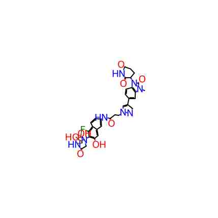 Cn1c(=O)n(C2CCC(=O)NC2=O)c2ccc(-c3cnn(CCC(=O)Nc4ccc5c(F)c(N6CC(=O)NS6(O)O)c(O)cc5c4)c3)cc21